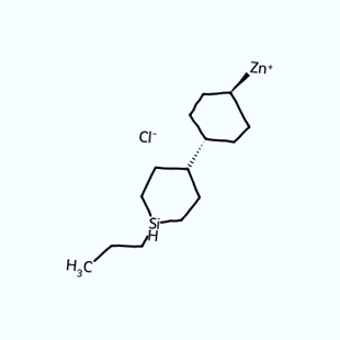 CCC[SiH]1CCC([C@H]2CC[C@H]([Zn+])CC2)CC1.[Cl-]